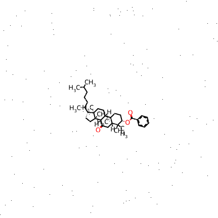 CC(C)CCC[C@@H](C)[C@H]1CC[C@@]2(C)[C@@H]3C(=O)C[C@H]4C(C)(C)[C@@H](OC(=O)c5ccccc5)CC[C@]4(C)[C@H]3CC[C@]12C